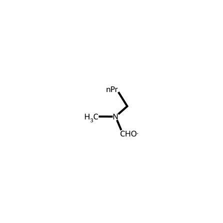 CCCCN(C)[C]=O